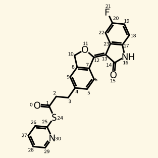 O=C(CCc1ccc2c(c1)CO/C2=C1/C(=O)Nc2ccc(F)cc21)Sc1ccccn1